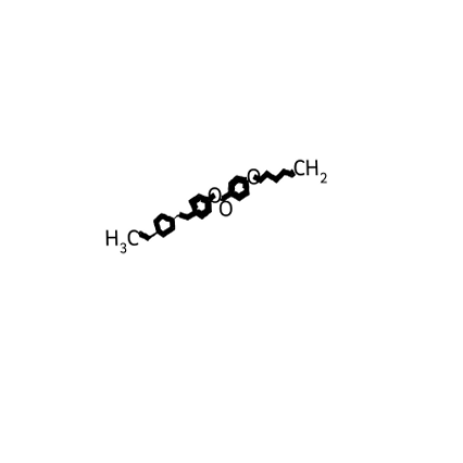 C=CCCCCOc1ccc(C(=O)Oc2ccc(CC[C@H]3CC[C@H](CCC)CC3)cc2)cc1